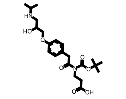 CC(C)NCC(O)COc1ccc(CC(=O)N(CCC(=O)O)C(=O)OC(C)(C)C)cc1